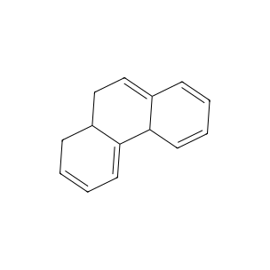 C1=CCC2CC=C3C=CC=CC3C2=C1